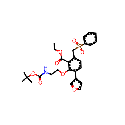 CCOC(=O)c1c(CS(=O)(=O)c2ccccc2)ccc(-c2ccoc2)c1OCCNC(=O)OC(C)(C)C